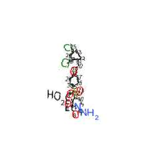 CCOC1(C(=O)O)CN(C(N)=O)CCC1S(=O)(=O)c1ccc(OCc2ccc(Cl)cc2Cl)cc1